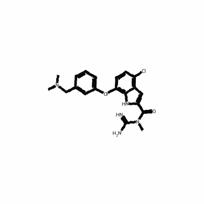 CN(C)Cc1cccc(Oc2ccc(Cl)c3cc(C(=O)N(C)C(=N)N)[nH]c23)c1